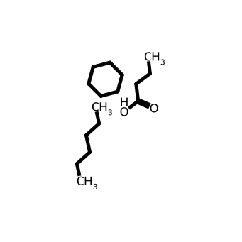 C1CCCCC1.CCCC(=O)O.CCCCCC